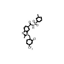 Cc1cccc(S(=O)(=O)NC(=O)c2ccc3nc(C)n(Cc4ccc(C(F)(F)F)cc4Cl)c3c2)c1